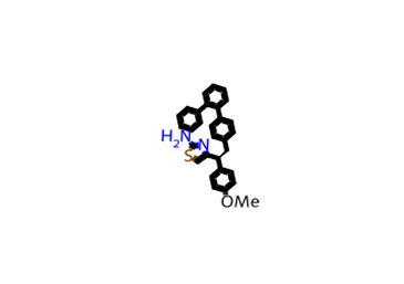 COc1ccc([C@H](Cc2ccc(-c3ccccc3-c3ccccc3)cc2)c2csc(N)n2)cc1